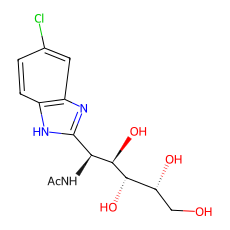 CC(=O)N[C@@H](c1nc2cc(Cl)ccc2[nH]1)[C@@H](O)[C@@H](O)[C@H](O)CO